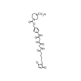 O=C(CCCCCN1C(=O)C=CC1=O)NCC(=O)NCC(=O)Nc1ccc(COC(=O)N2CCCN(C(=O)O)CC2)cc1